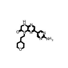 Nc1ncc(-c2cnc3c(n2)N(CCC2CCOCC2)C(=O)CN3)cn1